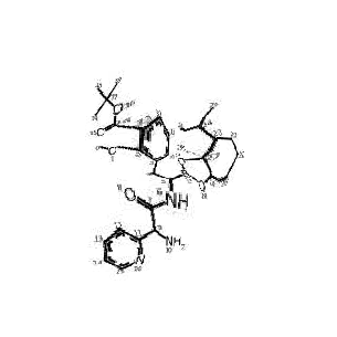 COc1c(C[C@H](NC(=O)C(N)c2ccccn2)B2OC3CCCC(C(C)C)[C@]3(C)O2)cccc1C(=O)OC(C)(C)C